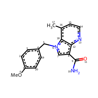 COc1ccc(Cn2cc(C(N)=O)c3nccc(C)c32)cc1